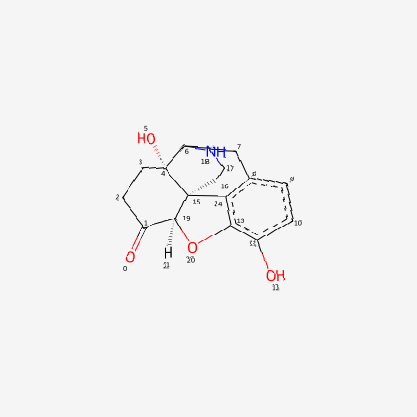 O=C1CC[C@@]2(O)C3Cc4ccc(O)c5c4[C@@]2(CCN3)[C@H]1O5